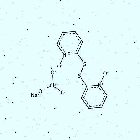 [Na+].[O-][Cl+2]([O-])[O-].[O-][n+]1ccccc1SSc1cccc[n+]1[O-]